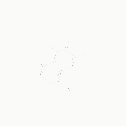 CSc1cccc2c(O)c(O)[n+](C)cc12